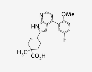 COc1ccc(F)cc1-c1ccnc2[nH]c(C3=CCC(C)(C(=O)O)CC3)cc12